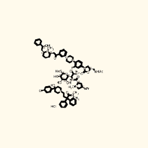 CC(=O)NC[C@H]1CN(c2ccc(N3CCOCC3)c(F)c2)C(=O)O1.CCC[C@@H]1C[C@@H](C(=O)NC(C(C)Cl)[C@H]2O[C@H](SC)[C@H](O)[C@@H](O)[C@H]2O)N(C)C1.CN(C)C(=O)C(CCN1CCC(O)(c2ccc(Cl)cc2)CC1)(c1ccccc1)c1ccccc1.CN1[C@@H](CC(=O)c2ccccc2)CCC[C@H]1C[C@H](O)c1ccccc1.Cl